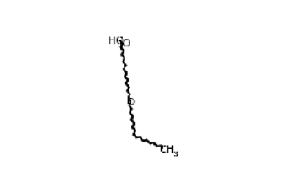 CCCCCCCC/C=C\CCCCCCCCOCCCCCCCCCCCCCCCC(=O)O